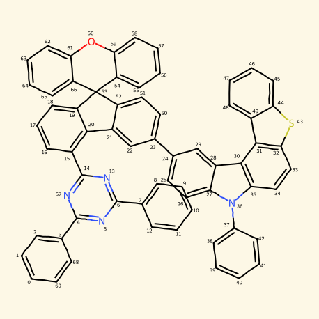 c1ccc(-c2nc(-c3ccccc3)nc(-c3cccc4c3-c3cc(-c5ccc6c(c5)c5c7c(ccc5n6-c5ccccc5)sc5ccccc57)ccc3C43c4ccccc4Oc4ccccc43)n2)cc1